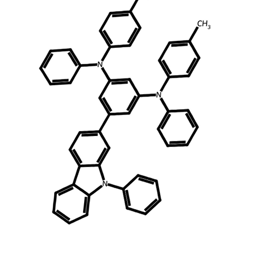 Cc1ccc(N(c2ccccc2)c2cc(-c3ccc4c5ccccc5n(-c5ccccc5)c4c3)cc(N(c3ccccc3)c3ccc(C)cc3)c2)cc1